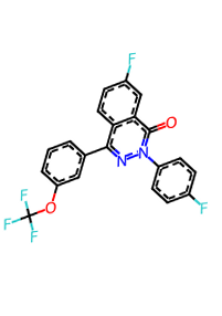 O=c1c2cc(F)ccc2c(-c2cccc(OC(F)(F)F)c2)nn1-c1ccc(F)cc1